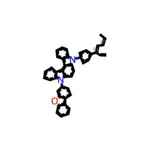 C=C/C(=C\C=C/C)c1ccc(-n2c3ccccc3c3c4c5ccccc5n(-c5ccc6c(c5)oc5ccccc56)c4ccc32)cc1